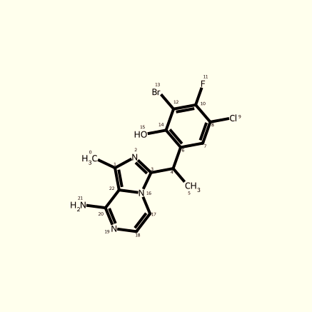 Cc1nc(C(C)c2cc(Cl)c(F)c(Br)c2O)n2ccnc(N)c12